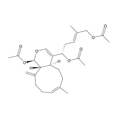 C=C1CCC=C(C)CC[C@@H]2C([C@H](C/C=C(\C)COC(C)=O)OC(C)=O)=CO[C@H](OC(C)=O)[C@@H]12